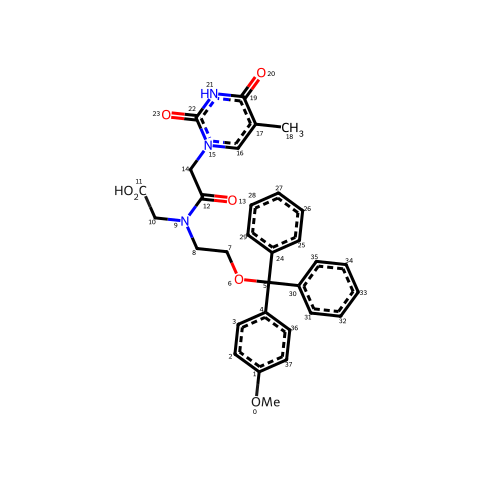 COc1ccc(C(OCCN(CC(=O)O)C(=O)Cn2cc(C)c(=O)[nH]c2=O)(c2ccccc2)c2ccccc2)cc1